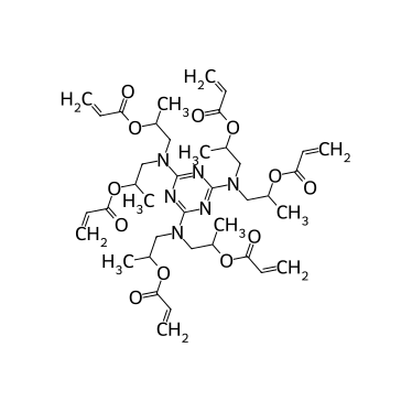 C=CC(=O)OC(C)CN(CC(C)OC(=O)C=C)c1nc(N(CC(C)OC(=O)C=C)CC(C)OC(=O)C=C)nc(N(CC(C)OC(=O)C=C)CC(C)OC(=O)C=C)n1